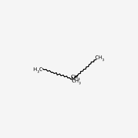 CCCCCCCCCCCCCCCCCCC[N+](C)(C)CCCCCCCCCCCCCCCCCC